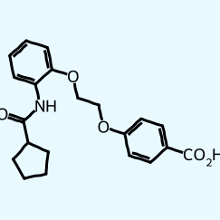 O=C(O)c1ccc(OCCOc2ccccc2NC(=O)C2CCCC2)cc1